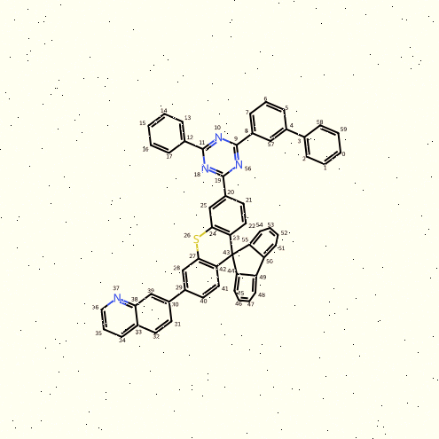 c1ccc(-c2cccc(-c3nc(-c4ccccc4)nc(-c4ccc5c(c4)Sc4cc(-c6ccc7cccnc7c6)ccc4C54c5ccccc5-c5ccccc54)n3)c2)cc1